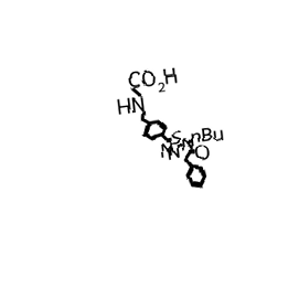 CCCCN(C(=O)Cc1ccccc1)c1nnc(-c2ccc(CCNCCC(=O)O)cc2)s1